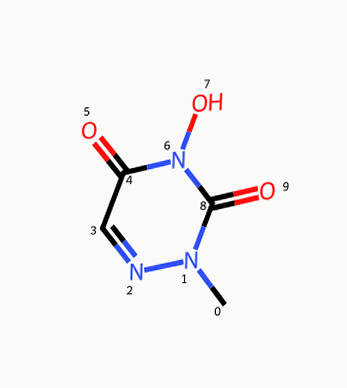 Cn1ncc(=O)n(O)c1=O